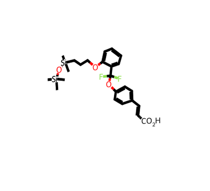 C[Si](C)(C)O[Si](C)(C)CCCOc1ccccc1C(F)(F)Oc1ccc(/C=C/C(=O)O)cc1